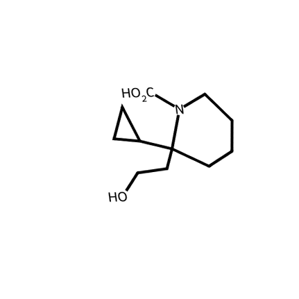 O=C(O)N1CCCCC1(CCO)C1CC1